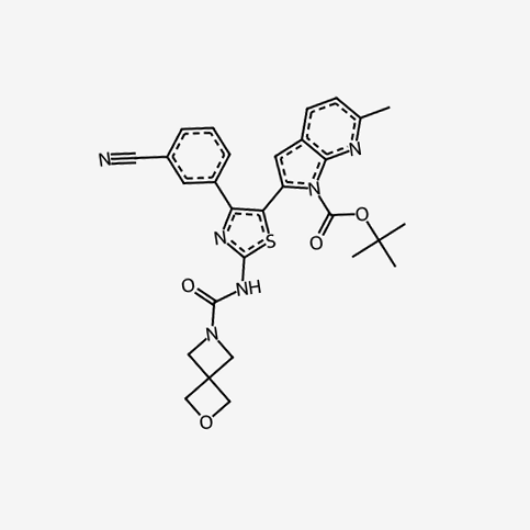 Cc1ccc2cc(-c3sc(NC(=O)N4CC5(COC5)C4)nc3-c3cccc(C#N)c3)n(C(=O)OC(C)(C)C)c2n1